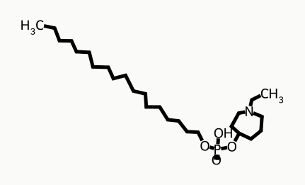 CCCCCCCCCCCCCCCCCCOP(=O)(O)OC1CCCN(CC)CC1